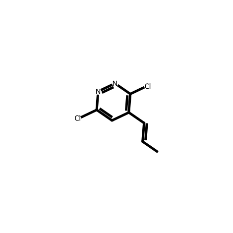 C/C=C/c1cc(Cl)nnc1Cl